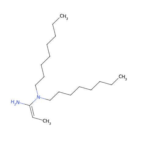 CC=C(N)N(CCCCCCCC)CCCCCCCC